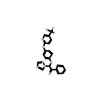 O=C(c1ccccc1)C(Oc1ccc(Oc2ccc(C(F)(F)F)cn2)cc1)n1cncn1